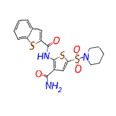 NC(=O)c1cc(S(=O)(=O)N2CCCCC2)sc1NC(=O)c1cc2ccccc2s1